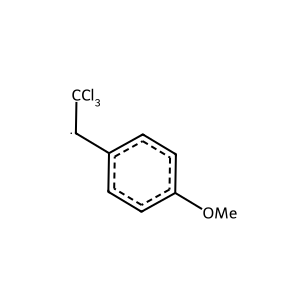 COc1ccc([CH]C(Cl)(Cl)Cl)cc1